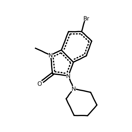 Cn1c(=O)n(N2CCCCC2)c2ccc(Br)cc21